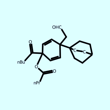 CCCCC(=O)C1(OC(=O)CCC)C=CC(CC=O)(C23CCC(CC2)CC3)C=C1